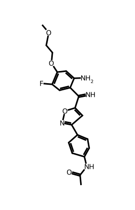 COCCOc1cc(N)c(C(=N)c2cc(-c3ccc(NC(C)=O)cc3)no2)cc1F